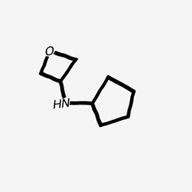 C1CCC(NC2COC2)C1